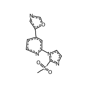 CS(=O)(=O)c1nccn1-c1cc(-c2cnco2)ccn1